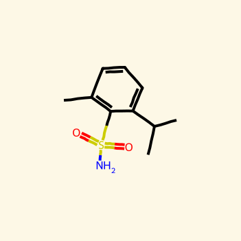 Cc1cccc(C(C)C)c1S(N)(=O)=O